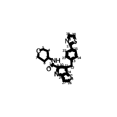 O=C(NC1CCOCC1)c1cc(Cc2ccc(-c3nccs3)cc2)c2sccc2n1